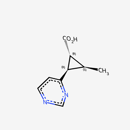 C[C@@H]1[C@@H](C(=O)O)[C@@H]1c1ccncn1